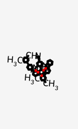 Cc1cc(C)cc(-c2ccc3c4ccccc4n(-c4cc(C#N)cc(-n5c6ccccc6c6ccc(-c7cc(C)cc(C)c7)cc65)c4-c4c(C#N)cccc4C(F)(F)F)c3c2)c1